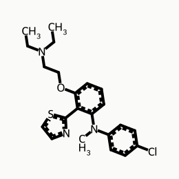 CCN(CC)CCOc1cccc(N(C)c2ccc(Cl)cc2)c1-c1nccs1